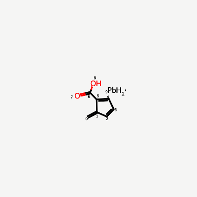 C=C1C=CC=C1C(=O)O.[PbH2]